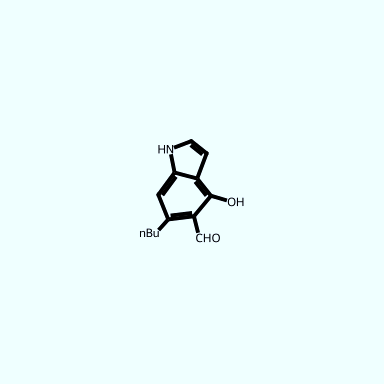 CCCCc1cc2[nH]ccc2c(O)c1C=O